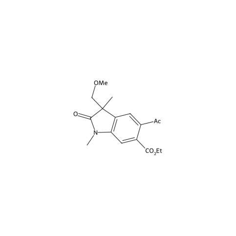 CCOC(=O)c1cc2c(cc1C(C)=O)C(C)(COC)C(=O)N2C